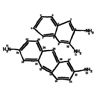 Nc1cc2ccccc2cc1N.Nc1ccc2cc3cc(N)ccc3cc2c1